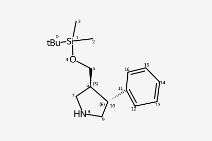 CC(C)(C)[Si](C)(C)OC[C@@H]1CNC[C@H]1c1ccccc1